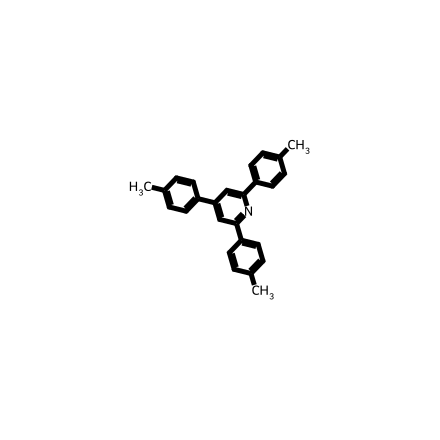 Cc1ccc(-c2cc(-c3ccc(C)cc3)nc(-c3ccc(C)cc3)c2)cc1